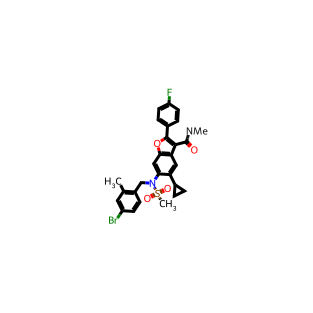 CNC(=O)c1c(-c2ccc(F)cc2)oc2cc(N(Cc3ccc(Br)cc3C)S(C)(=O)=O)c(C3CC3)cc12